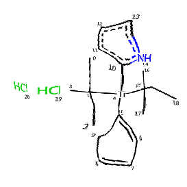 C[C](C)(C)[Ti]([C]1=CC=CC1)([c]1ccc[nH]1)[C](C)(C)C.Cl.Cl